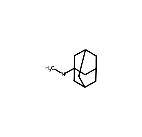 C[N]C12CC3CC(CC(C3)C1)C2